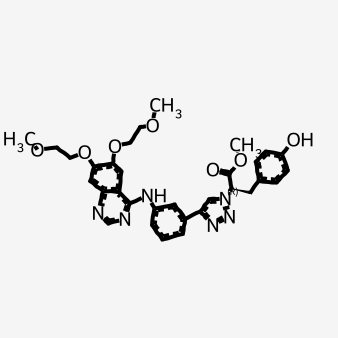 COCCOc1cc2ncnc(Nc3cccc(-c4cn([C@H](Cc5ccc(O)cc5)C(=O)OC)nn4)c3)c2cc1OCCOC